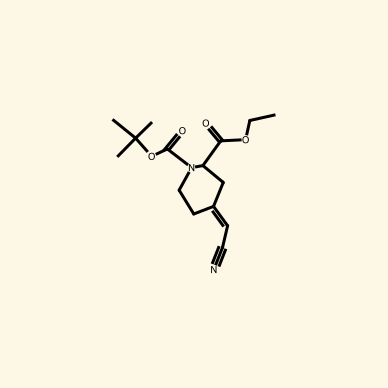 CCOC(=O)C1CC(=CC#N)CCN1C(=O)OC(C)(C)C